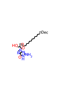 CCCCCCCCCCCCCCCCCCCCCC(=O)OC(C(CC)CO)n1cnc2c(=O)[nH]c(N)nc21